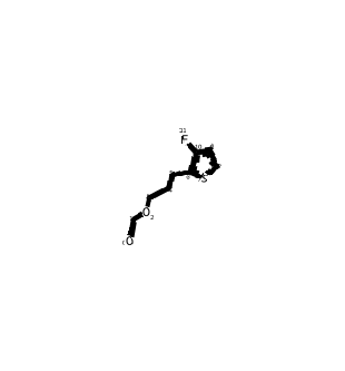 O=COCCCc1sccc1F